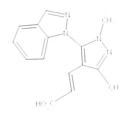 Cc1nn(C)c(-n2ncc3ccccc32)c1/C=C/C(=O)O